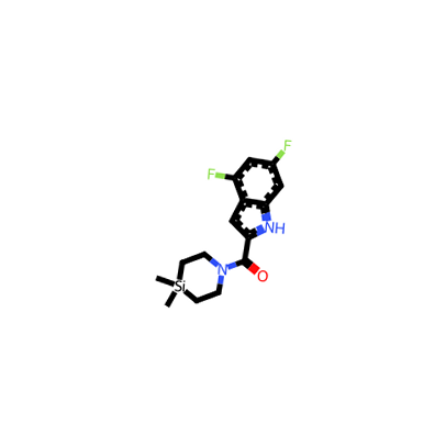 C[Si]1(C)CCN(C(=O)c2cc3c(F)cc(F)cc3[nH]2)CC1